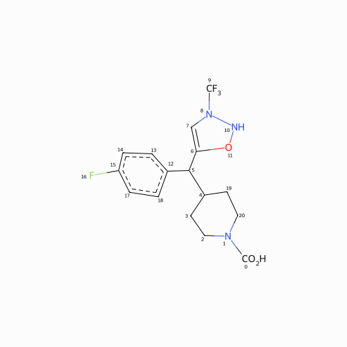 O=C(O)N1CCC(C(C2=CN(C(F)(F)F)NO2)c2ccc(F)cc2)CC1